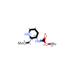 COC[C@@H]1NCCC[C@@H]1NC(=O)OC(C)(C)C